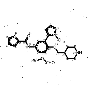 CC(C)(C)OC=O.Cn1nccc1-c1cc(NC(=O)c2cccs2)ccc1OCC1CCNCC1